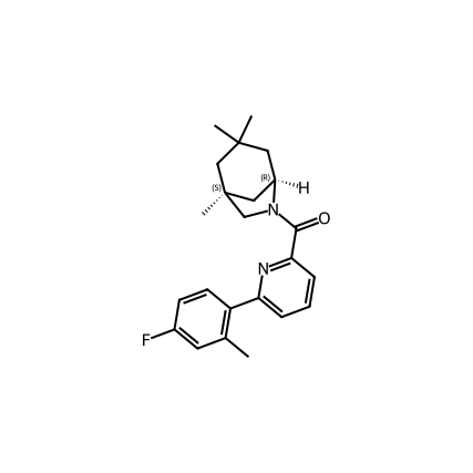 Cc1cc(F)ccc1-c1cccc(C(=O)N2C[C@]3(C)C[C@H]2CC(C)(C)C3)n1